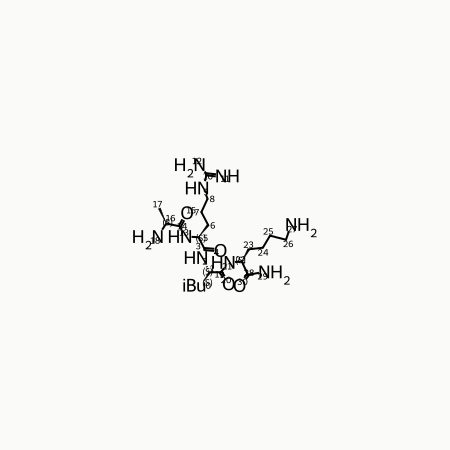 CC[C@H](C)[C@H](NC(=O)[C@H](CCCNC(=N)N)NC(=O)[C@H](C)N)C(=O)N[C@@H](CCCCN)C(N)=O